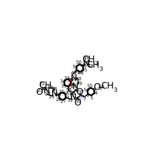 CCOc1ccc(/C=C/C(=O)N(Cc2ccc(N3CCN(C(C)=O)CC3)cc2)[C@@H](Cc2ccccc2)C(=O)N2CCN(Cc3ccc(N(C)C)cc3)CC2)cc1